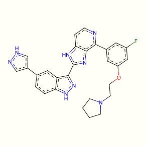 Fc1cc(OCCN2CCCC2)cc(-c2nccc3[nH]c(-c4n[nH]c5ccc(-c6cn[nH]c6)cc45)nc23)c1